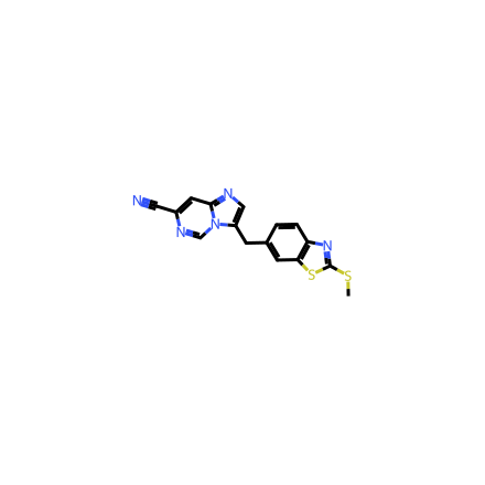 CSc1nc2ccc(Cc3cnc4cc(C#N)ncn34)cc2s1